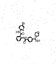 N=C(c1ccc(C(=O)Nc2ccccc2C(=O)Nc2ccc(Br)cn2)cc1)N1CCOCC1